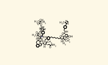 C/C(=C\C(=O)N[C@H]1CCc2cccc3c2N(C1=O)[C@H](C(=O)N[C@@H](CCC(N)=O)[C@@H](C)OCc1ccc(CCCCCCC(=O)N[C@H](C(=O)N2C[C@H](O)C[C@H]2C(=O)NCc2ccc(-c4scnc4C)cc2)C(C)(C)C)cc1)C3)c1ccc(C(F)(F)P(=O)(OCOC(=O)C(C)(C)C)OCOC(=O)C(C)(C)C)cc1